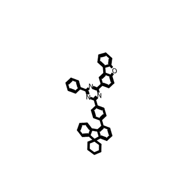 c1ccc(-c2nc(-c3ccc(-c4cccc5c4-c4ccccc4C54CCCCC4)cc3)nc(-c3ccc4oc5ccccc5c4c3)n2)cc1